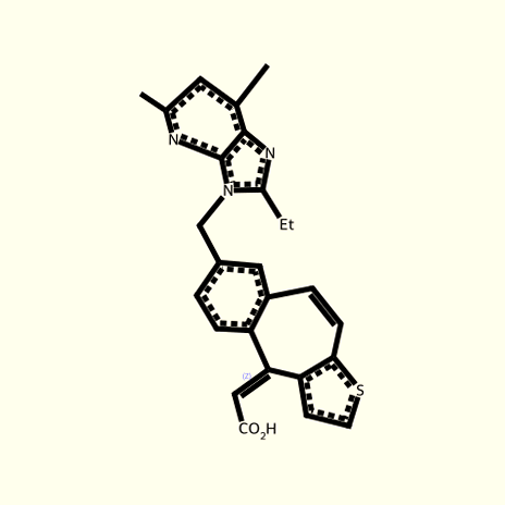 CCc1nc2c(C)cc(C)nc2n1Cc1ccc2c(c1)C=Cc1sccc1/C2=C\C(=O)O